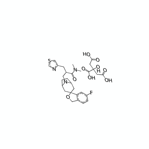 CN(C)C(=O)C(Cc1cscn1)CN1C2CCC1CC1(C2)OCc2ccc(F)cc21.O=C(O)CC(O)(CC(=O)O)C(=O)O